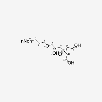 CCCCCCCCCCCCOCC(O)C[N+]([O-])(CCO)CCO